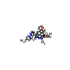 CC1=CCN(c2cc(-c3cc4c(-c5cc(F)c6c(c5C)CCCO6)c([C@H](OC(C)(C)C)C(=O)O)c(C)nc4n3C)ccn2)CC1